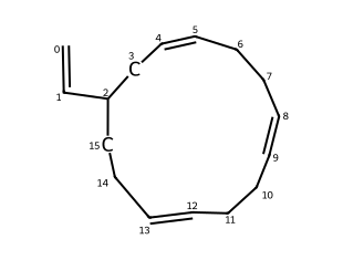 C=CC1CC=CCCC=CCCC=CCC1